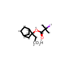 CC(C)(I)C(=O)OC1(CC(=O)O)CC2CCC1C2